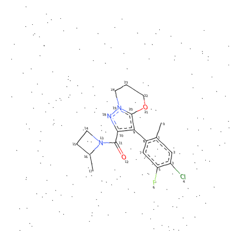 Cc1cc(Cl)c(F)cc1-c1c(C(=O)N2CCC2C)nn2c1OCCC2